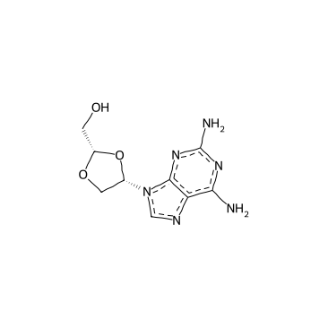 Nc1nc(N)c2ncn([C@@H]3CO[C@H](CO)O3)c2n1